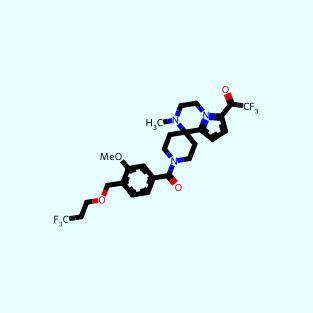 COc1cc(C(=O)N2CCC3(CC2)c2ccc(C(=O)C(F)(F)F)n2CCN3C)ccc1COCCC(F)(F)F